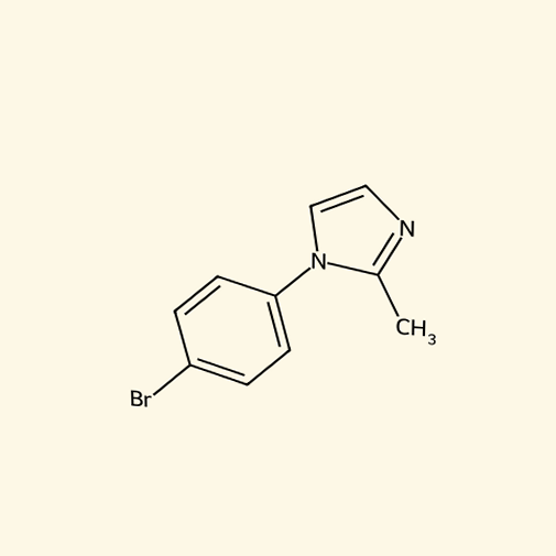 Cc1nccn1-c1ccc(Br)cc1